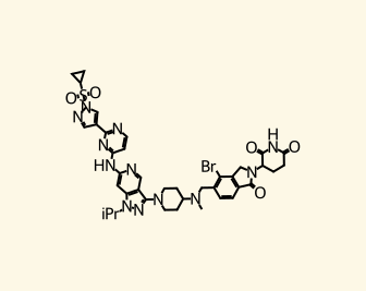 CC(C)n1nc(N2CCC(N(C)Cc3ccc4c(c3Br)CN(C3CCC(=O)NC3=O)C4=O)CC2)c2cnc(Nc3ccnc(-c4cnn(S(=O)(=O)C5CC5)c4)n3)cc21